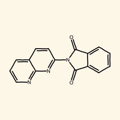 O=C1c2ccccc2C(=O)N1c1ccc2cccnc2n1